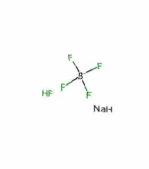 F.F[B-](F)(F)F.[NaH]